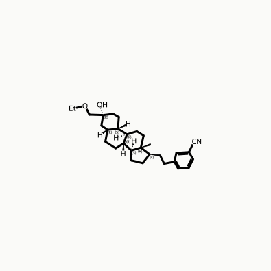 CCOC[C@@]1(O)CC[C@H]2[C@H](CC[C@@H]3[C@@H]2CC[C@]2(C)[C@@H](CCc4cccc(C#N)c4)CC[C@@H]32)C1